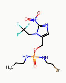 CCCNP(=O)(NCCBr)OCc1cnc([N+](=O)[O-])n1CC(F)(F)F